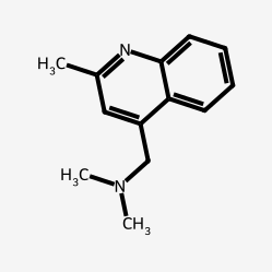 Cc1cc(CN(C)C)c2ccccc2n1